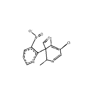 CC1=C(Cl)C=NC(C)C1(C=O)c1ncccc1[N+](=O)[O-]